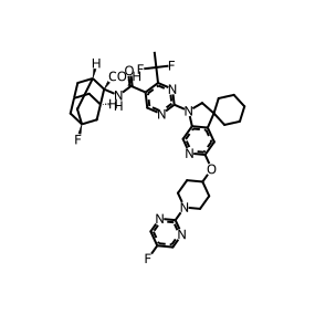 CC(F)(F)c1nc(N2CC3(CCCCC3)c3cc(OC4CCN(c5ncc(F)cn5)CC4)ncc32)ncc1C(=O)N[C@]1(C(=O)O)[C@@H]2CC3C[C@H]1C[C@@](F)(C3)C2